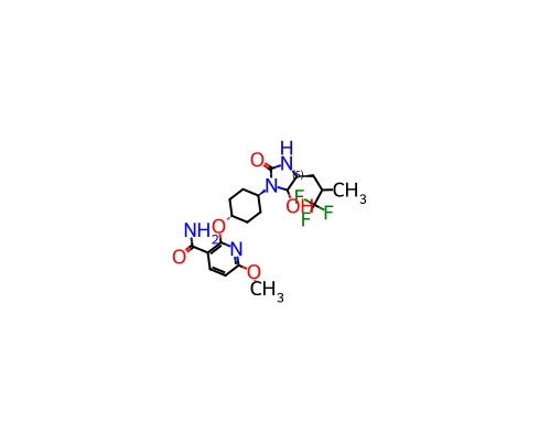 COc1ccc(C(N)=O)c(O[C@H]2CC[C@H](N3C(=O)N[C@@H](CC(C)C(F)(F)F)C3O)CC2)n1